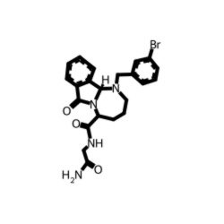 NC(=O)CNC(=O)C1CCCN(Cc2cccc(Br)c2)[C@H]2c3ccccc3C(=O)N12